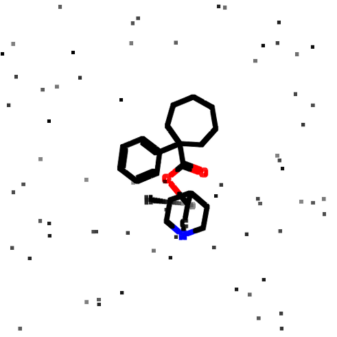 O=C(O[C@@H]1CN2CCC1CC2)C1(c2ccccc2)CCCCCC1